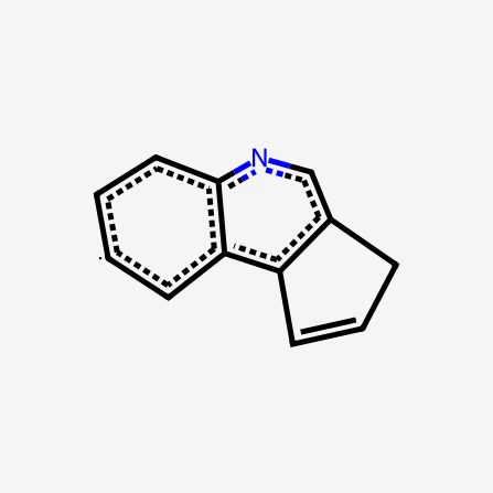 [c]1ccc2ncc3c(c2c1)C=CC3